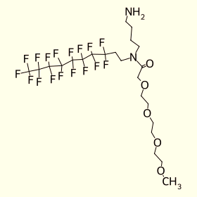 COCCOCCOCCOCC(=O)N(CCCCN)CCC(F)(F)C(F)(F)C(F)(F)C(F)(F)C(F)(F)C(F)(F)C(F)(F)C(F)(F)F